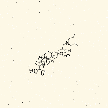 CCCN(CCC)CC(O)CC1(OC=O)CC[C@@]2(C)C(CC[C@@H]3[C@@H]2CC[C@]2(C)C(C(=O)O)CC[C@@H]32)C1